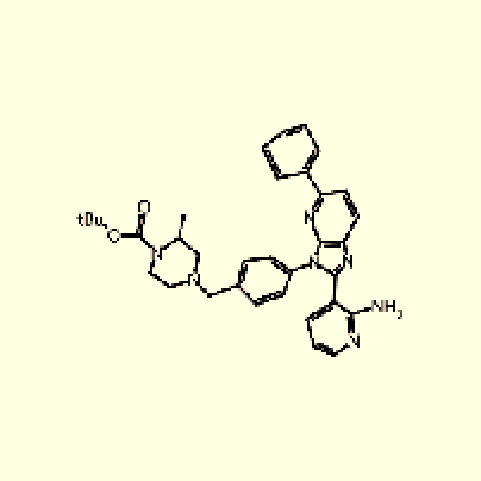 C[C@H]1CN(Cc2ccc(-n3c(-c4cccnc4N)nc4ccc(-c5ccccc5)nc43)cc2)CCN1C(=O)OC(C)(C)C